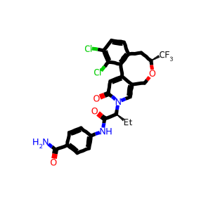 CC[C@@H](C(=O)Nc1ccc(C(N)=O)cc1)n1cc2c(cc1=O)-c1c(ccc(Cl)c1Cl)C[C@@H](C(F)(F)F)OC2